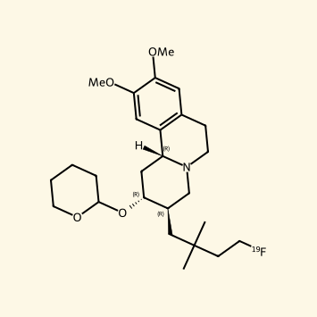 COc1cc2c(cc1OC)[C@H]1C[C@@H](OC3CCCCO3)[C@H](CC(C)(C)CC[19F])CN1CC2